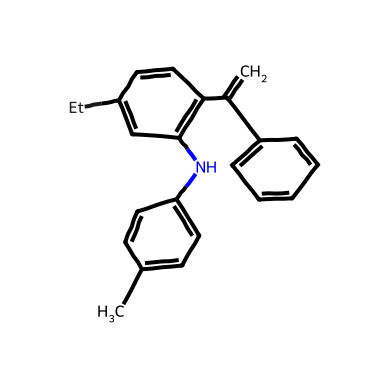 C=C(c1ccccc1)c1ccc(CC)cc1Nc1ccc(C)cc1